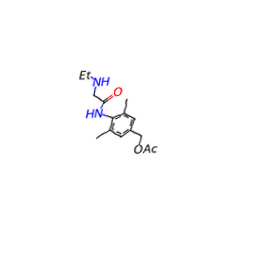 CCNCC(=O)Nc1c(C)cc(COC(C)=O)cc1C